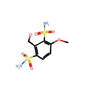 COc1ccc(S(N)(=O)=O)c(C[O])c1S(N)(=O)=O